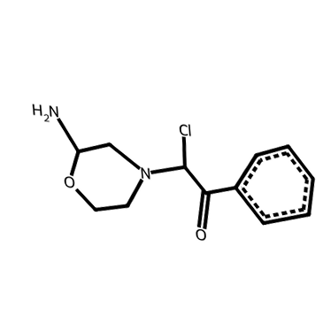 NC1CN(C(Cl)C(=O)c2ccccc2)CCO1